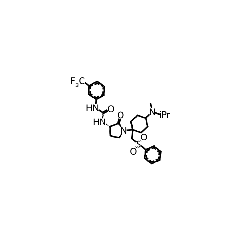 CC(C)N(C)C1CCC(CS(=O)(=O)c2ccccc2)(N2CC[C@H](NC(=O)Nc3cccc(C(F)(F)F)c3)C2=O)CC1